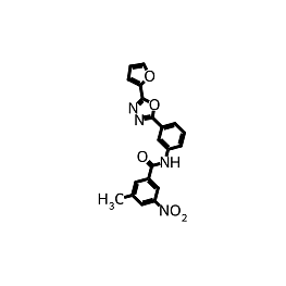 Cc1cc(C(=O)Nc2cccc(-c3nnc(-c4ccco4)o3)c2)cc([N+](=O)[O-])c1